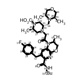 CC1COc2nc(C(=O)NC(C)(C)C)c(Cc3ccc(F)cc3)cc2N1C(=O)CN1C[C@@H](C)N(C(=O)O)C[C@@H]1CN1[C@H](C)COC[C@H]1C